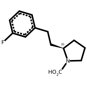 O=C(O)N1CCC[C@@H]1CCc1cccc(F)c1